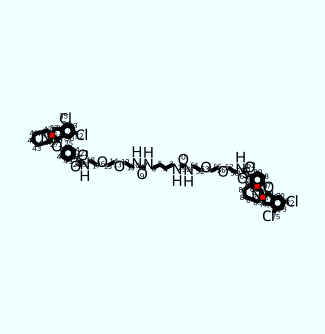 O=C(NCCCCNC(=O)NCCOCCOCCNS(=O)(=O)c1ccc(O[C@H]2c3cc(Cl)cc(Cl)c3C[C@@H]2N2C3CCCC2CCC3)cc1)NCCOCCOCCNS(=O)(=O)c1ccc(O[C@H]2c3cc(Cl)cc(Cl)c3C[C@@H]2N2C3CCCC2CCC3)cc1